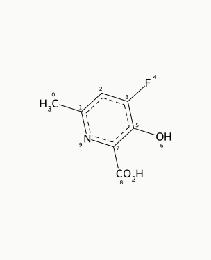 Cc1cc(F)c(O)c(C(=O)O)n1